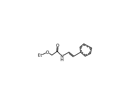 [CH2]COCC(=O)NC=Cc1ccccc1